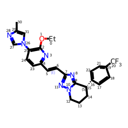 CCOc1nc(/C=C/c2nc3n(n2)CCC[C@H]3c2ccc(C(F)(F)F)cc2)ccc1-n1cnc(C)c1